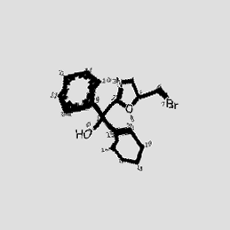 OC(C1=NCC(CBr)O1)(c1ccccc1)C1CCCCC1